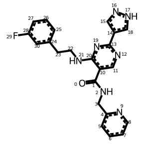 O=C(NCc1ccccn1)c1cnc(-c2cn[nH]c2)nc1NCCc1cccc(F)c1